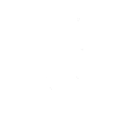 c1ccc(N2CCC2)c(C2CCN(CC3CNC(c4cccc5[nH]ccc45)CO3)CC2)c1